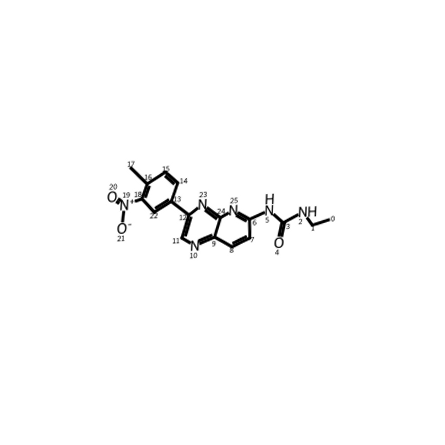 CCNC(=O)Nc1ccc2ncc(-c3ccc(C)c([N+](=O)[O-])c3)nc2n1